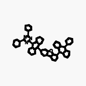 c1ccc(-c2nc(-c3ccccc3)nc(-c3c4ccccc4c(-c4ccc5c(c4)oc4c(-c6c7ccccc7c(-c7ccccc7)c7ccccc67)cccc45)c4ccccc34)n2)cc1